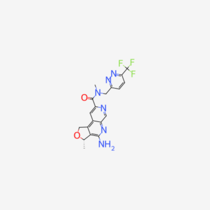 C[C@@H]1OCc2c1c(N)nc1cnc(C(=O)N(C)Cc3ccc(C(F)(F)F)nn3)cc21